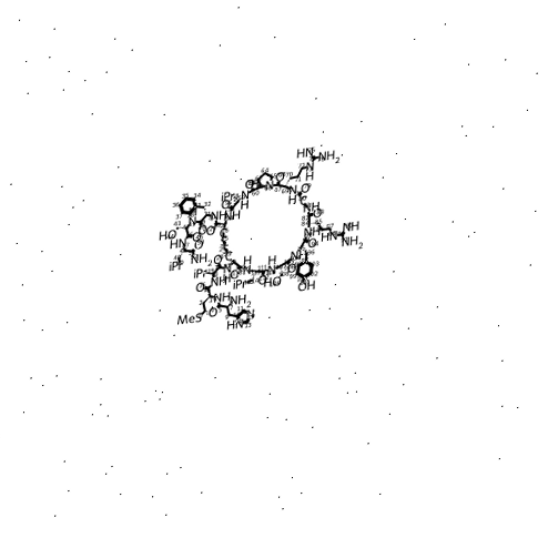 CSCC[C@H](NC(=O)[C@@H](N)Cc1cnc[nH]1)C(=O)N[C@H](C(=O)N[C@H]1CSSC[C@@H](C(=O)N[C@@H](Cc2ccccc2)C(=O)N[C@@H](CO)C(=O)N[C@@H](CC(C)C)C(N)=O)NC(=O)[C@H](C(C)C)NC(=O)[C@@H]2CCCN2C(=O)[C@H](CCCNC(=N)N)NC(=O)CNC(=O)[C@H](CCCNC(=N)N)NC(=O)[C@H](Cc2ccc(O)cc2)NC(=O)[C@H](CO)NC(=O)[C@H](CC(C)C)NC1=O)C(C)C